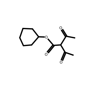 CC(=O)C(C(C)=O)C(=O)OC1CCCCC1